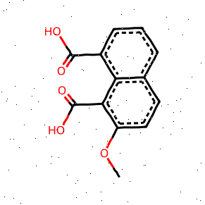 COc1ccc2cccc(C(=O)O)c2c1C(=O)O